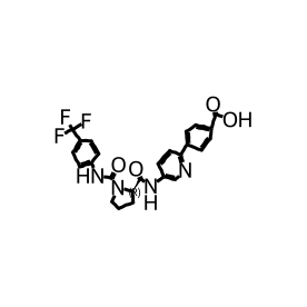 O=C(O)c1ccc(-c2ccc(NC(=O)[C@H]3CCCN3C(=O)Nc3ccc(C(F)(F)F)cc3)cn2)cc1